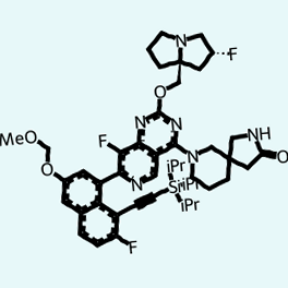 COCOc1cc(-c2ncc3c(N4CCCC5(CNC(=O)C5)C4)nc(OC[C@@]45CCCN4C[C@H](F)C5)nc3c2F)c2c(C#C[Si](C(C)C)(C(C)C)C(C)C)c(F)ccc2c1